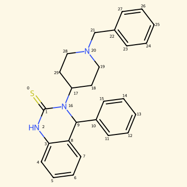 S=C1Nc2ccccc2C(c2ccccc2)N1C1CCN(Cc2ccccc2)CC1